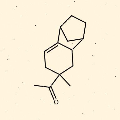 CC(=O)C1(C)CC=C2C3CCC(C3)C2C1